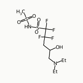 CCN(CC)CC(O)CC(F)(F)C(F)(F)S(=O)(=O)NS(C)(=O)=O